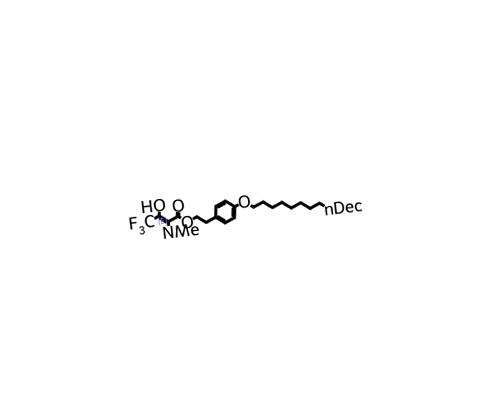 [CH2-][NH2+]/C(C(=O)OCCc1ccc(OCCCCCCCCCCCCCCCCCC)cc1)=C(/O)C(F)(F)F